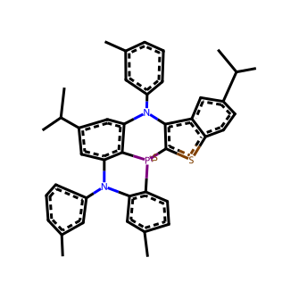 Cc1cccc(N2c3cc(C)ccc3P3(=S)c4sc5ccc(C(C)C)cc5c4N(c4cccc(C)c4)c4cc(C(C)C)cc2c43)c1